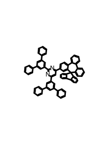 c1ccc(-c2cc(-c3ccccc3)cc(-c3cc(-c4ccc5c(c4)C4(c6ccccc6-c6ccccc6-5)c5ccccc5-c5ccccc54)nc(-c4cc(-c5ccccc5)cc(-c5ccccc5)c4)n3)c2)cc1